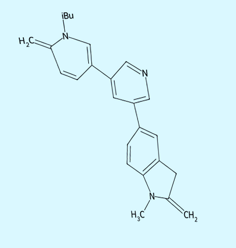 C=C1Cc2cc(-c3cncc(C4=CN(C(C)CC)C(=C)C=C4)c3)ccc2N1C